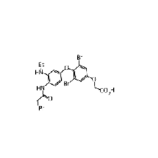 CCNc1cc(Oc2c(Br)cc(OCC(=O)O)cc2Br)ccc1NC(=O)CC(C)C